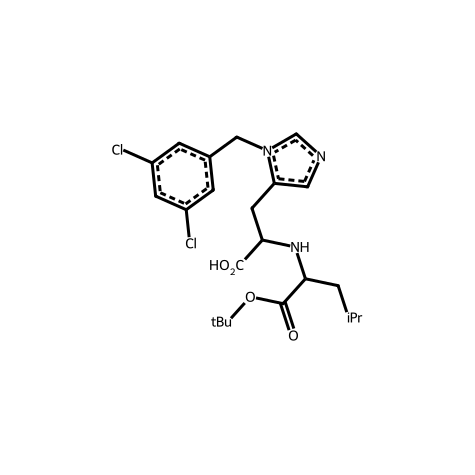 CC(C)CC(NC(Cc1cncn1Cc1cc(Cl)cc(Cl)c1)C(=O)O)C(=O)OC(C)(C)C